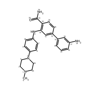 CN1CCN(c2ccc(Nc3cc(-c4cccc(N)c4)cnc3C(N)=O)cc2)CC1